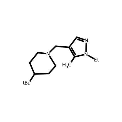 CCn1ncc(CN2CCC(C(C)(C)C)CC2)c1C